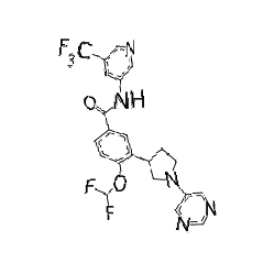 O=C(Nc1cncc(C(F)(F)F)c1)c1ccc(OC(F)F)c(C2CCN(c3cncnc3)C2)c1